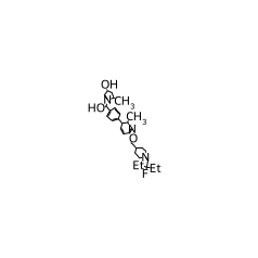 CCC(F)(CC)CN1CCC(COC2=NC(C)C(c3ccc(C(O)N4C[C@H](O)C[C@@H]4C)cc3)C=C2)CC1